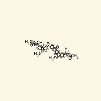 CCn1c2ccc(C(=O)c3ccc(C(=O)c4ccc5c(c4)c4cc(/C(C)=N/OC(C)=O)ccc4n5CC)cc3)cc2c2cc(/C(C)=N/OC(C)=O)ccc21